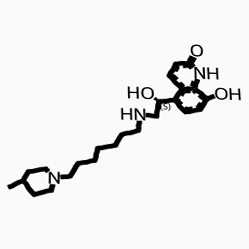 CC1CCN(CCCCCCCNC[C@@H](O)c2ccc(O)c3[nH]c(=O)ccc23)CC1